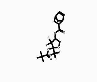 CC(C)(C)C(=O)OC1(C(F)(F)F)OCC(OC(=O)C2CC3C=CC2C3)C1(F)F